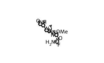 COc1cc(C(=O)N2C[C@H](N)C[C@@H](F)C2)cc2nc(-c3cc4ccc(-c5cc(F)c6[nH]c(=O)ccc6c5)nc4n3CC3CC3)n(C)c12